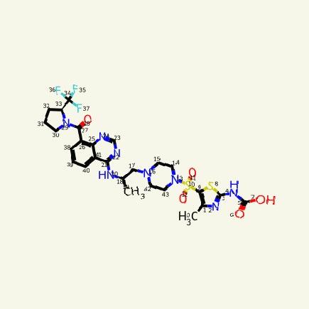 Cc1nc(NC(=O)O)sc1S(=O)(=O)N1CCN(CC(C)Nc2ncnc3c(C(=O)N4CCC[C@H]4C(F)(F)F)cccc23)CC1